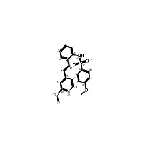 COc1ccc(S(=O)(=O)Nc2ccccc2/C=C/c2ccnc(OC)c2)cc1